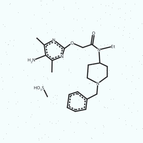 CCN(C(=O)COc1nc(C)c(N)c(C)n1)C1CCN(Cc2ccccc2)CC1.CS(=O)(=O)O